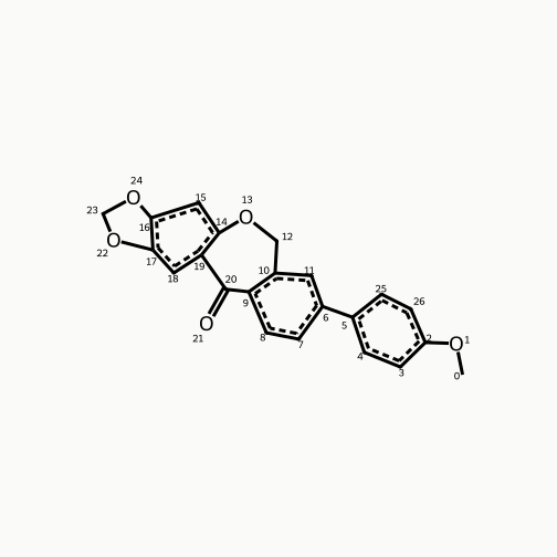 COc1ccc(-c2ccc3c(c2)COc2cc4c(cc2C3=O)OCO4)cc1